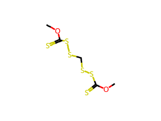 COC(=S)SSCSSC(=S)OC